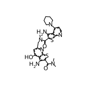 CN(C)C(=O)c1sc2nc(CN(C)C(=O)c3sc4nccc(N5CCCCC5)c4c3N)cc(O)c2c1N